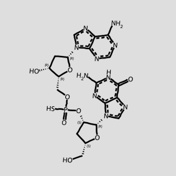 Nc1nc2c(ncn2[C@@H]2O[C@H](CO)C[C@@H]2OP(=O)(S)OC[C@H]2O[C@@H](n3cnc4c(N)ncnc43)C[C@H]2O)c(=O)[nH]1